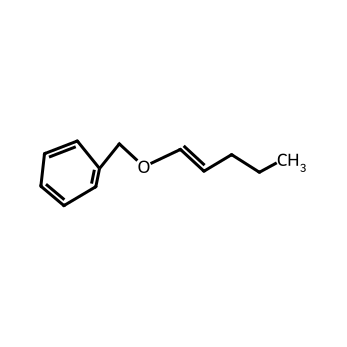 CCCC=COCc1ccccc1